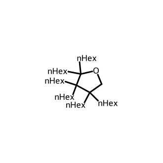 CCCCCCC1(CCCCCC)COC(CCCCCC)(CCCCCC)C1(CCCCCC)CCCCCC